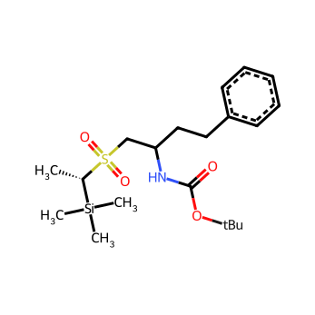 C[C@@H]([Si](C)(C)C)S(=O)(=O)CC(CCc1ccccc1)NC(=O)OC(C)(C)C